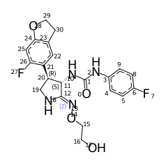 O=C(Nc1ccc(F)cc1)N[C@@H]1/C(=N/OCCO)NC[C@H]1c1cc2c(cc1F)OCC2